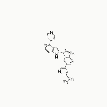 CC(C)Nc1cncc(-c2cnc3[nH]nc(-c4cc5c(-c6ccncc6)nccc5[nH]4)c3c2)c1